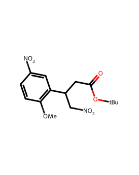 COc1ccc([N+](=O)[O-])cc1C(CC(=O)OC(C)(C)C)C[N+](=O)[O-]